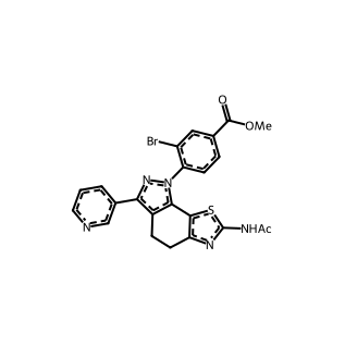 COC(=O)c1ccc(-n2nc(-c3cccnc3)c3c2-c2sc(NC(C)=O)nc2CC3)c(Br)c1